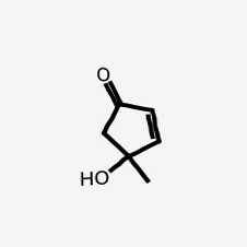 CC1(O)C=CC(=O)C1